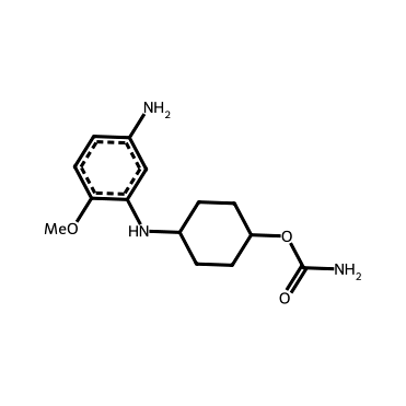 COc1ccc(N)cc1NC1CCC(OC(N)=O)CC1